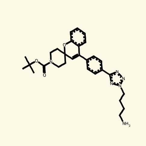 CC(C)(C)OC(=O)N1CCC2(C=C(c3ccc(-c4nnn(CCCCN)n4)cc3)c3ccccc3O2)CC1